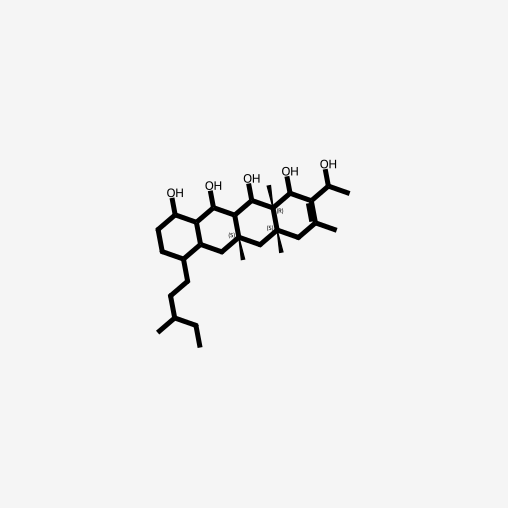 CCC(C)CCC1CCC(O)C2C(O)C3C(O)[C@]4(C)C(O)C(C(C)O)=C(C)C[C@]4(C)C[C@]3(C)CC12